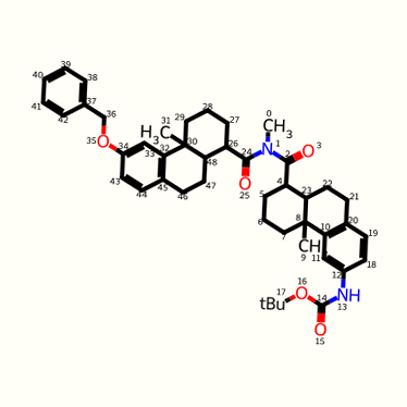 CN(C(=O)C1CCCC2(C)c3cc(NC(=O)OC(C)(C)C)ccc3CCC12)C(=O)C1CCCC2(C)c3cc(OCc4ccccc4)ccc3CCC12